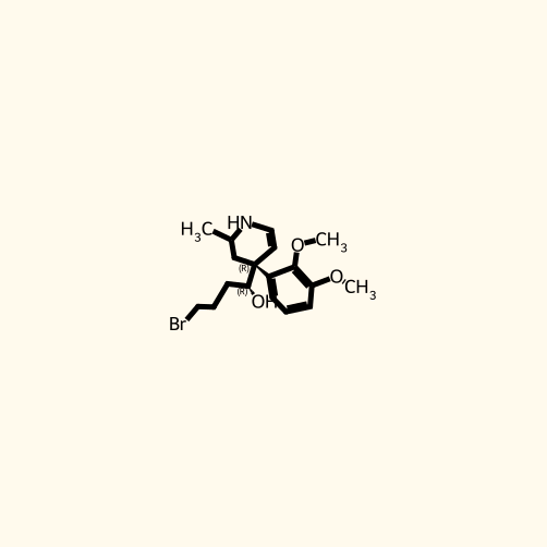 COc1cccc([C@]2([C@H](O)CCCBr)C=CNC(C)C2)c1OC